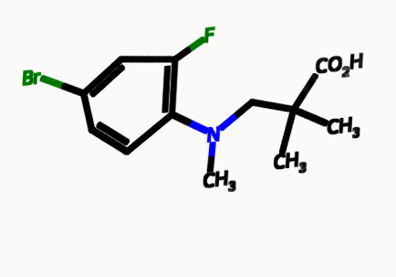 CN(CC(C)(C)C(=O)O)c1ccc(Br)cc1F